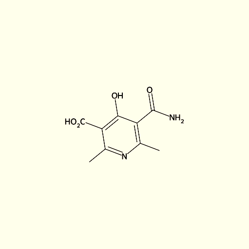 Cc1nc(C)c(C(=O)O)c(O)c1C(N)=O